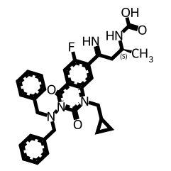 C[C@@H](CC(=N)c1cc2c(cc1F)c(=O)n(N(Cc1ccccc1)Cc1ccccc1)c(=O)n2CC1CC1)NC(=O)O